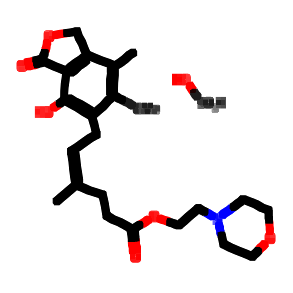 COc1c(C)c2c(c(O)c1CC=C(C)CCC(=O)OCCN1CCOCC1)C(=O)OC2.O=S(=O)(O)O